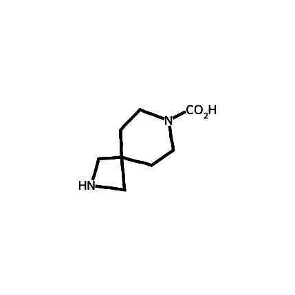 O=C(O)N1CCC2(CC1)CNC2